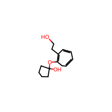 OCCC1=C(OC2(O)CCCC2)CC=CC=C1